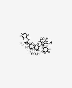 N[C@@H](Cc1ccccc1)C(=O)N[C@@H](CC(=O)O)C(=O)N[C@@H](Cc1ccccc1)C(=O)N[C@@H](CC(=O)O)C(=O)O